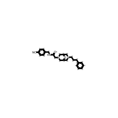 N#Cc1ccc(CNC(=O)CN2CC3CN(CCCc4ccccc4)CC(C2)O3)cc1